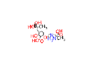 C[C@H](Cc1ccc(OC2CN(CC(C)(N)C(=O)O)C2)c(C(=O)O)c1O)B(O)O